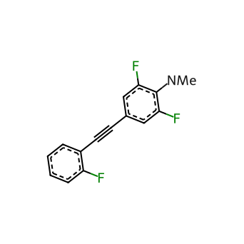 CNc1c(F)cc(C#Cc2ccccc2F)cc1F